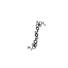 C[C@@H](F)C(=O)OC1CCC(COc2ccc(OCC3CCC(OC(=O)[C@@H](C)F)CC3)cc2)CC1